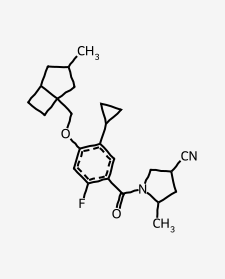 CC1CC2CCC2(COc2cc(F)c(C(=O)N3CC(C#N)CC3C)cc2C2CC2)C1